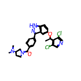 CC(Oc1ccc2[nH]nc(-c3ccc(C(=O)N4CC[C@@H](N(C)C)C4)cc3)c2c1)c1c(Cl)cncc1Cl